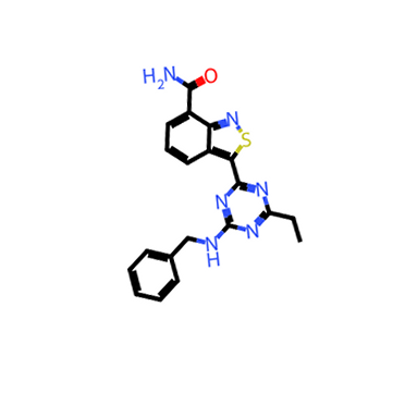 CCc1nc(NCc2ccccc2)nc(-c2snc3c(C(N)=O)cccc23)n1